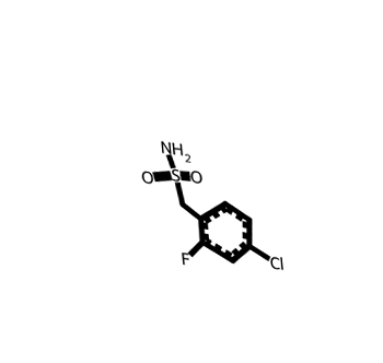 NS(=O)(=O)Cc1ccc(Cl)cc1F